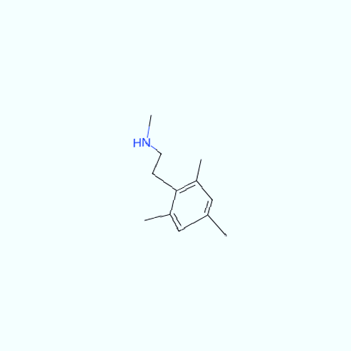 CNCCc1c(C)cc(C)cc1C